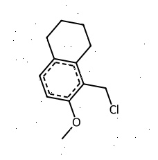 COc1ccc2c(c1CCl)CCCC2